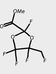 COC(=O)C1(F)OC(F)(F)C(F)(CF)O1